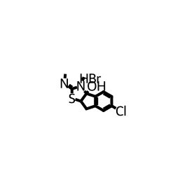 Br.CN=C1SC2Cc3cc(Cl)ccc3C2(O)N1C